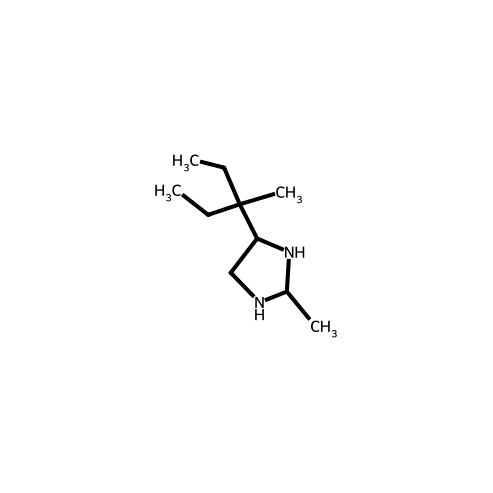 CCC(C)(CC)C1CNC(C)N1